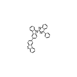 c1ccc(-c2nc(-n3c4ccccc4c4cc(-c5ccc6sc7ccccc7c6c5)ccc43)nc3ccccc23)cc1